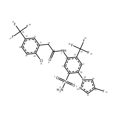 NS(=O)(=O)c1cc(NC(=O)Cc2cc(C(F)(F)F)ccc2Cl)c(C(F)(F)F)cc1-n1cc(F)cn1